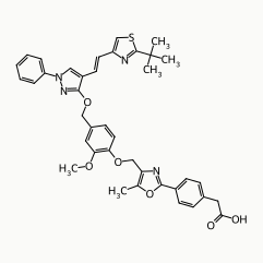 COc1cc(COc2nn(-c3ccccc3)cc2C=Cc2csc(C(C)(C)C)n2)ccc1OCc1nc(-c2ccc(CC(=O)O)cc2)oc1C